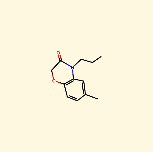 CCCN1C(=O)COc2ccc(C)cc21